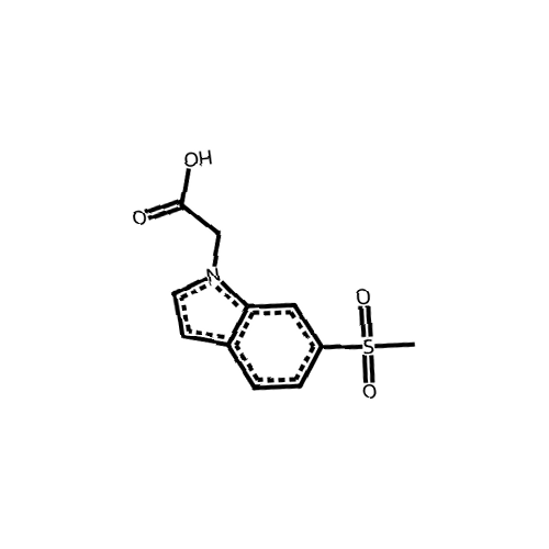 CS(=O)(=O)c1ccc2ccn(CC(=O)O)c2c1